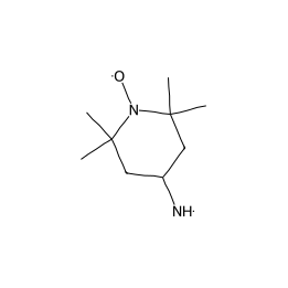 CC1(C)CC([NH])CC(C)(C)N1[O]